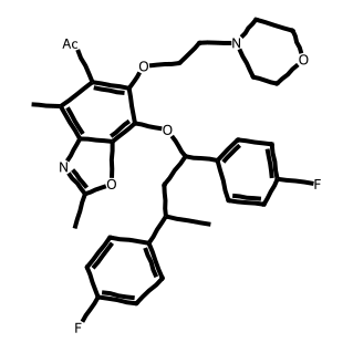 CC(=O)c1c(OCCN2CCOCC2)c(OC(CC(C)c2ccc(F)cc2)c2ccc(F)cc2)c2oc(C)nc2c1C